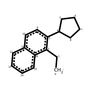 [CH2]Cc1c(C2CCCC2)ccc2ccccc12